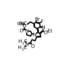 CCOc1nc2c(F)c(Br)c(CCC#N)cc2c2c1cc(CCC(=O)N(C)C)n2C1CCN(C(=O)OC(C)(C)C)C1